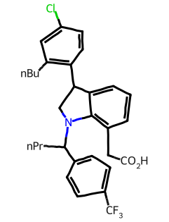 CCCCc1cc(Cl)ccc1C1CN(C(CCC)c2ccc(C(F)(F)F)cc2)c2c(CC(=O)O)cccc21